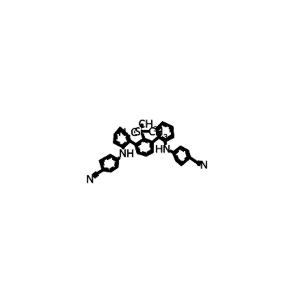 C[Si](C)(C)c1c(-c2ccccc2Nc2ccc(C#N)cc2)cccc1-c1ccccc1Nc1ccc(C#N)cc1